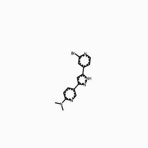 CN(C)c1ccc(-c2cc(-c3ccnc(Br)c3)[nH]n2)cn1